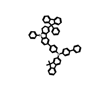 CC1(C)c2ccccc2-c2ccc(N(c3ccc(-c4ccccc4)cc3)c3ccc(-c4ccc5c(c4)c4c(n5-c5ccccc5)CCC(C5(c6ccccc6)c6ccccc6-c6ccccc65)=C4)cc3)cc21